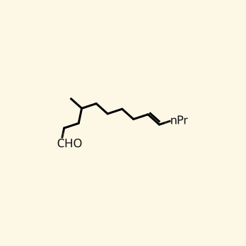 CCCC=CCCCCC(C)CCC=O